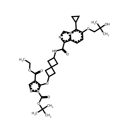 CCOC(=O)c1cnn(C(=O)OC(C)(C)C)c1OC1CC2(CC(NC(=O)c3ncn4c(C5CC5)c(OCC(C)(C)O)ccc34)C2)C1